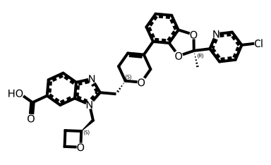 C[C@@]1(c2ccc(Cl)cn2)Oc2cccc(C3=CC[C@@H](Cc4nc5ccc(C(=O)O)cc5n4C[C@@H]4CCO4)OC3)c2O1